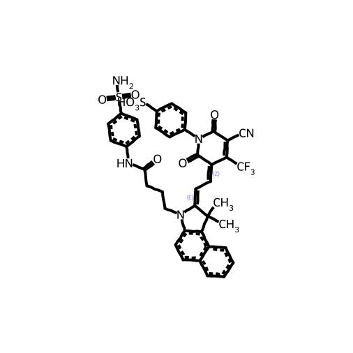 CC1(C)/C(=C\C=C2/C(=O)N(c3ccc(S(=O)(=O)O)cc3)C(=O)C(C#N)=C2C(F)(F)F)N(CCCC(=O)Nc2ccc(S(N)(=O)=O)cc2)c2ccc3ccccc3c21